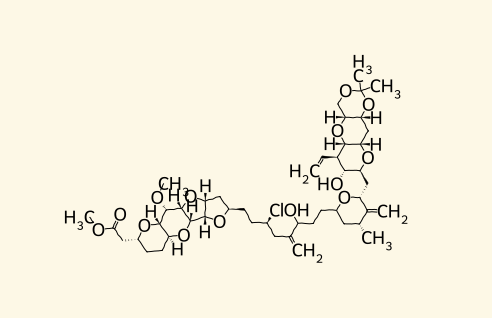 C=C[C@@H]1[C@@H](O)[C@H](C[C@H]2OC(CCC(O)C(=C)C[C@H](Cl)CC[C@@H]3C[C@H]4O[C@H]5[C@@H](OC)[C@H]6O[C@@H](CC(=O)OC)CC[C@@H]6O[C@H]5[C@H]4O3)C[C@@H](C)C2=C)O[C@H]2C[C@H]3OC(C)(C)OC[C@H]3O[C@@H]12